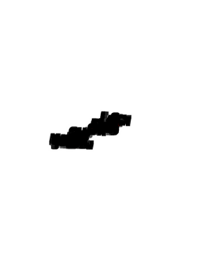 Cc1ncsc1-c1ccc([C@H](C)NC(=O)[C@@H]2C[C@@H](O)CN2C(=O)[C@@H](NC(=O)COCCCCOc2ccc(-c3ncc(N4C(=S)N(c5ccc(C#N)c(C(F)(F)F)c5F)C(=O)C4(C)C)cc3F)cc2F)C(C)(C)C)cc1